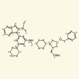 COC[C@@H]1C[C@@H](OCc2ccccc2)CN1[C@H]1CC[C@@H](CNc2cc(-n3c(C(F)F)nc4ccccc43)nc(N3CCOCC3)n2)CC1